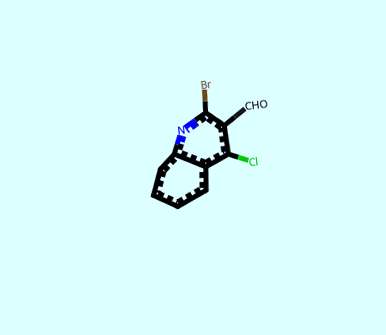 O=Cc1c(Br)nc2ccccc2c1Cl